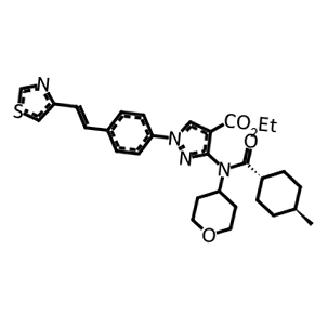 CCOC(=O)c1cn(-c2ccc(/C=C/c3cscn3)cc2)nc1N(C(=O)[C@H]1CC[C@H](C)CC1)C1CCOCC1